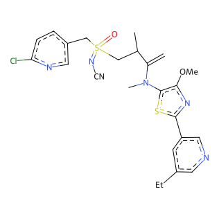 C=C(C(C)CS(=O)(Cc1ccc(Cl)nc1)=NC#N)N(C)c1sc(-c2cncc(CC)c2)nc1OC